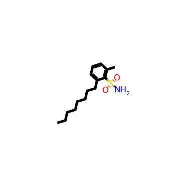 CCCCCCCCc1cccc(C)c1S(N)(=O)=O